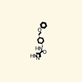 O=C(NC[C@H]1CC[C@@H](CCOc2ccccc2)CC1)c1cn[nH]c1